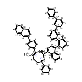 C/C1=C(\c2ccc(-c3ccc4ccccc4c3)cc2)NC(c2ccc(-c3cccc4oc5c(-c6cccc(-c7ccccc7)c6)cccc5c34)c3ccccc23)/N=C(/c2ccccc2)CC1